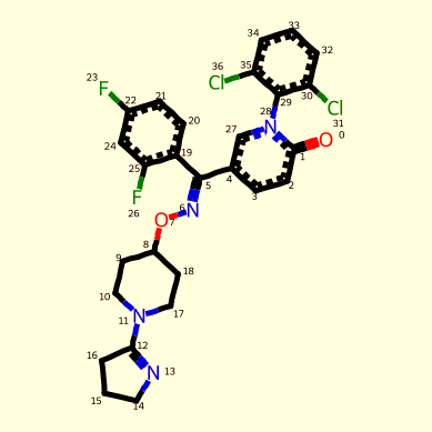 O=c1ccc(C(=NOC2CCN(C3=NCCC3)CC2)c2ccc(F)cc2F)cn1-c1c(Cl)cccc1Cl